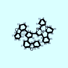 c1ccc(-c2nc(-c3cc(-c4cccc5oc6ccccc6c45)cc(-c4cccc5oc6ccccc6c45)c3)cc(-c3ccccc3-c3cccnc3)n2)cc1